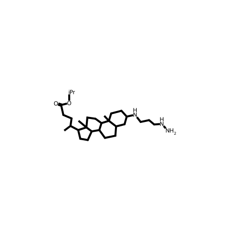 CC(C)OC(=O)CCC(C)C1CCC2C3CCC4CC(NCCCNN)CCC4(C)C3CCC12C